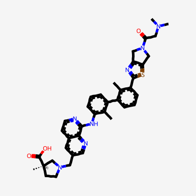 Cc1c(Nc2nccc3cc(CN4CC[C@@](C)(C(=O)O)C4)cnc23)cccc1-c1cccc(-c2nc3c(s2)CN(C(=O)CN(C)C)C3)c1C